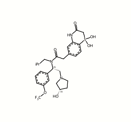 CC(C)CN(C(=O)Cc1ccc2c(c1)NC(=O)CS2(O)O)[C@H](CN1CC[C@H](O)C1)c1cccc(OC(F)(F)F)c1